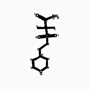 CC(C)(C(N)=O)S(=O)(=O)CCC1CCOCC1